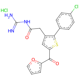 Cl.N=C(N)NC(=O)Cc1cc(C(=O)c2ccco2)sc1-c1ccc(Cl)cc1